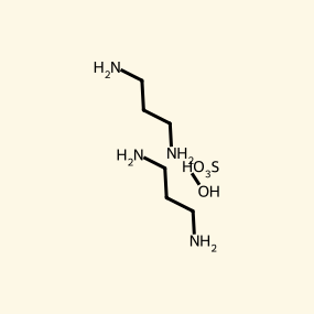 NCCCN.NCCCN.O=S(=O)(O)O